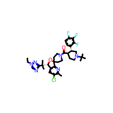 CCn1cnc(C(C)(C)[C@@H]2OC3(CCN(C(=O)C4CCN(C(C)(C)C)C[C@H]4c4ccc(F)c(F)c4F)CC3)c3nc(C)c(Cl)cc32)n1